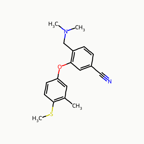 CSc1ccc(Oc2cc(C#N)ccc2CN(C)C)cc1C